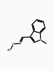 CC(C)O/N=C/c1cn(C)c2ccccc12